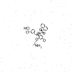 COc1cc(OCCC(C)N)c2c(c1)c(S(=O)(=O)c1cccc3ccccc13)nn2Cc1cccc(Cl)c1.Cl